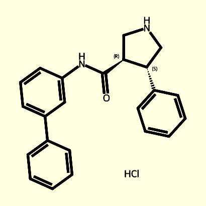 Cl.O=C(Nc1cccc(-c2ccccc2)c1)[C@H]1CNC[C@@H]1c1ccccc1